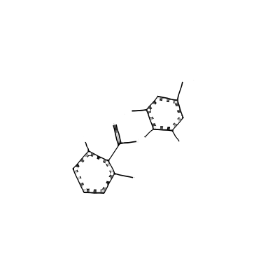 Cc1cc(C)c(PC(=O)c2c(Cl)cccc2Cl)c(C)c1.[LiH]